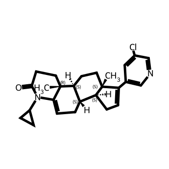 C[C@]12CCC(=O)N(C3CC3)C1=CC[C@@H]1[C@@H]2CC[C@]2(C)C(c3cncc(Cl)c3)=CC[C@@H]12